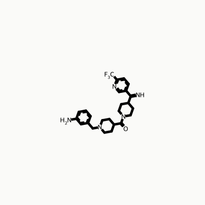 N=C(c1ccc(C(F)(F)F)nc1)C1CCN(C(=O)C2CCN(Cc3cccc(N)c3)CC2)CC1